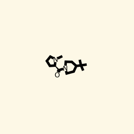 CN1CCC[C@@H]1C(=O)N1CCC(C(C)(C)C)CC1